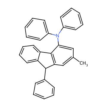 Cc1cc2c(c(N(c3ccccc3)c3ccccc3)c1)-c1ccccc1C2c1ccccc1